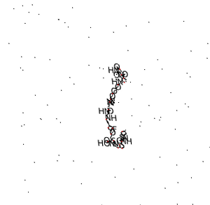 O=C(CCCn1cc(COCCOCCOCCNc2cccc3c2CN(C2CCC(=O)NC2=O)C3=O)nn1)NCCNCC#Cc1ccc(OCCCc2sc(N3CCc4cccc(C(=O)Nc5nc6ccccc6s5)c4C3)nc2C(=O)O)c(F)c1